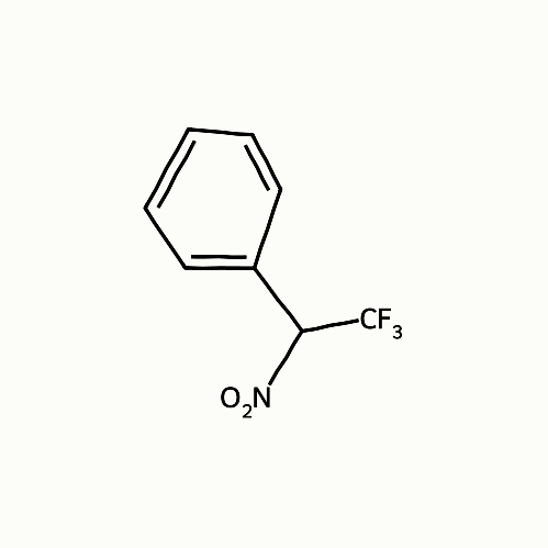 O=[N+]([O-])C(c1ccccc1)C(F)(F)F